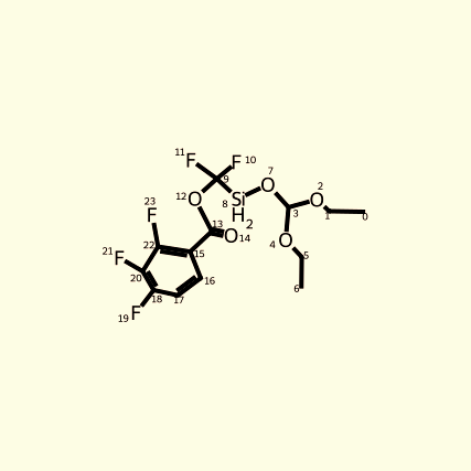 CCOC(OCC)O[SiH2]C(F)(F)OC(=O)c1ccc(F)c(F)c1F